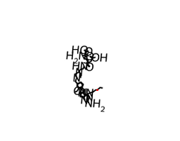 CCCCCNc1nc(N)nc2ccn(Cc3ccc(CN4CCN(CCNC(=O)C(CC(=O)O)SCC(N)C(=O)O)CC4)cc3OC)c12